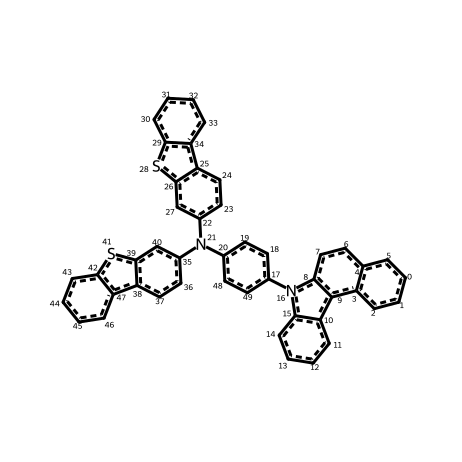 c1ccc2c(c1)ccc1c2c2ccccc2n1-c1ccc(N(c2ccc3c(c2)sc2ccccc23)c2ccc3c(c2)sc2ccccc23)cc1